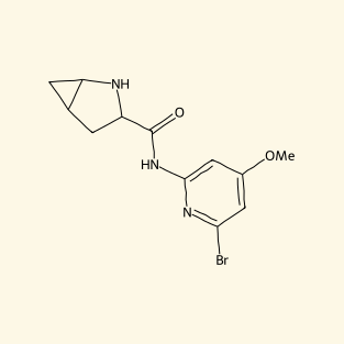 COc1cc(Br)nc(NC(=O)C2CC3CC3N2)c1